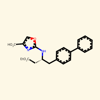 CCOC(=O)C[C@@H](Cc1ccc(-c2ccccc2)cc1)Nc1nc(C(=O)O)co1